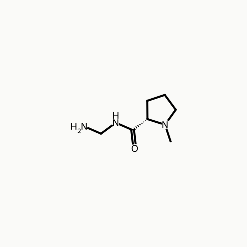 CN1CCC[C@H]1C(=O)NCN